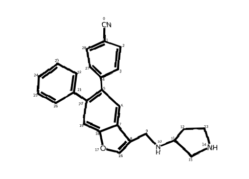 N#Cc1ccc(-c2cc3c(CNC4CCNC4)coc3cc2-c2ccccc2)cc1